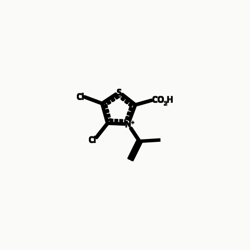 C=C(C)[n+]1c(C(=O)O)sc(Cl)c1Cl